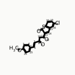 COc1ccc(C=CC(=O)CC(=O)c2cc3cc(Cl)ccc3sc2=O)cc1